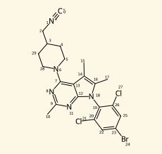 [C-]#[N+]CC1CCN(c2nc(C)nc3c2c(C)c(C)n3-c2c(Cl)cc(Br)cc2Cl)CC1